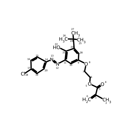 C=C(C)C(=O)OCCOc1cc(N=Nc2ccc(Cl)cc2)c(O)c(C(C)(C)C)c1